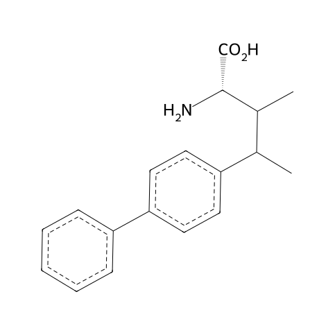 CC(c1ccc(-c2ccccc2)cc1)C(C)[C@H](N)C(=O)O